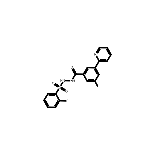 O=C(NNS(=O)(=O)c1ccccc1F)c1cc(F)cc(-c2ccccn2)c1